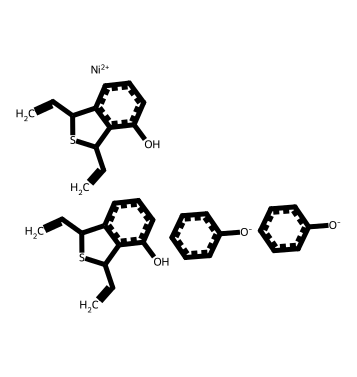 C=CC1SC(C=C)c2c(O)cccc21.C=CC1SC(C=C)c2c(O)cccc21.[Ni+2].[O-]c1ccccc1.[O-]c1ccccc1